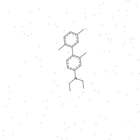 CCN(CC)c1ccc(-c2cc(C)ccc2C)c(C)c1